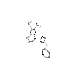 COc1cc2nncc(-c3cnn(Cc4ccccc4)c3)c2cc1OC